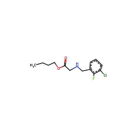 CCCCOC(=O)CNCc1cccc(Cl)c1F